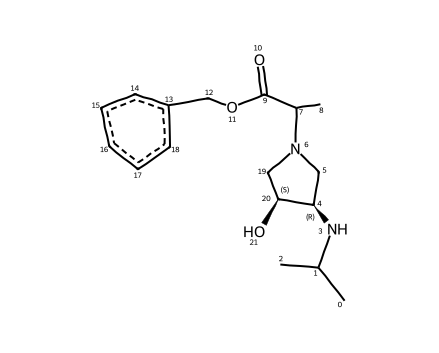 CC(C)N[C@@H]1CN(C(C)C(=O)OCc2ccccc2)C[C@@H]1O